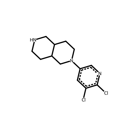 Clc1cc(N2CCC3CNCCC3C2)cnc1Cl